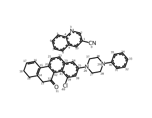 N#Cc1cnc2ccccc2c1.O=C1CC2=C(C=CCC2)c2ccc3cc(N4CCN(c5ccccc5)CC4)cc(Cl)c3c21